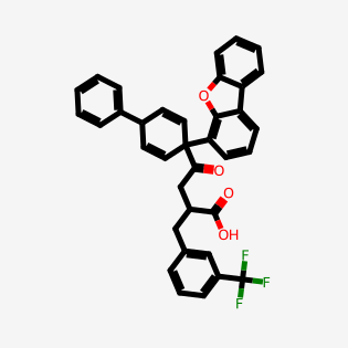 O=C(O)C(CC(=O)C1(c2cccc3c2oc2ccccc23)C=CC(c2ccccc2)C=C1)Cc1cccc(C(F)(F)F)c1